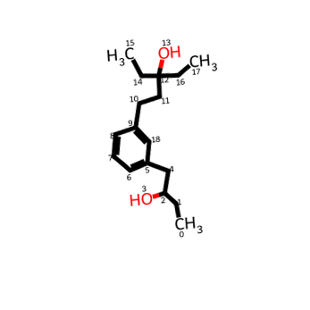 CCC(O)Cc1cccc(CCC(O)(CC)CC)c1